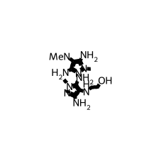 CNc1c(N)nn(C)c1N.Cn1nc(N)c(NCCO)c1N